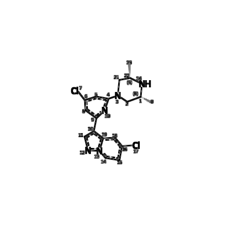 C[C@@H]1CN(c2cc(Cl)cc(-c3cnn4ccc(Cl)cc34)n2)C[C@H](C)N1